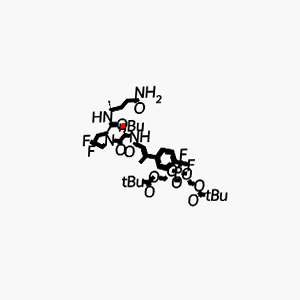 CCCC[C@H](NC(=O)/C=C(\C)c1ccc(C(F)(F)P(=O)(OCOC(=O)C(C)(C)C)OCOC(=O)C(C)(C)C)cc1)C(=O)N1CC(F)(F)C[C@H]1C(=O)N[C@H](C)CCC(N)=O